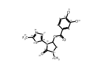 CN1CC(OC(=O)c2ccc(Cl)c(Cl)c2)N(c2nnc(C(F)(F)F)s2)C1=O